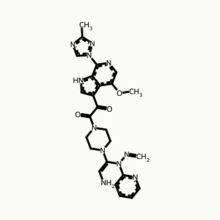 C=NN(/C(=C\N)N1CCN(C(=O)C(=O)c2c[nH]c3c(-n4cnc(C)n4)ncc(OC)c23)CC1)c1ccccn1